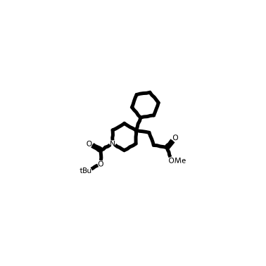 COC(=O)CCC1(C2CCCCC2)CCN(C(=O)OC(C)(C)C)CC1